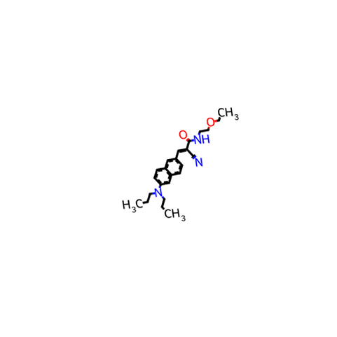 CCCN(CCC)c1ccc2cc(/C=C(\C#N)C(=O)NCCOCC)ccc2c1